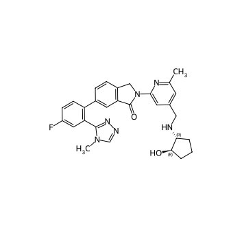 Cc1cc(CN[C@@H]2CCC[C@H]2O)cc(N2Cc3ccc(-c4ccc(F)cc4-c4nncn4C)cc3C2=O)n1